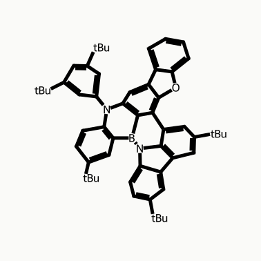 CC(C)(C)c1cc(N2c3ccc(C(C)(C)C)cc3B3c4c2cc2c(oc5ccccc52)c4-c2cc(C(C)(C)C)cc4c5cc(C(C)(C)C)ccc5n3c24)cc(C(C)(C)C)c1